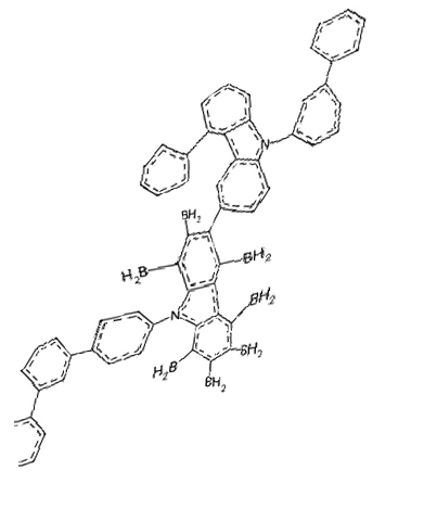 Bc1c(B)c(B)c2c(c1B)c1c(B)c(-c3ccc4c(c3)c3c(-c5ccccc5)cccc3n4-c3cccc(-c4ccccc4)c3)c(B)c(B)c1n2-c1ccc(-c2cccc(-c3ccccc3)c2)cc1